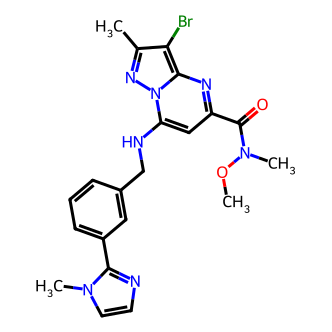 CON(C)C(=O)c1cc(NCc2cccc(-c3nccn3C)c2)n2nc(C)c(Br)c2n1